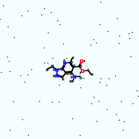 CCOC(=O)c1c(C)nc2c(cnn2CC)c1N(C)C